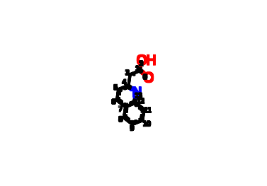 O=C(O)[CH]c1ccc2ccccc2n1